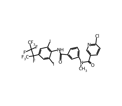 CN(C(=O)c1ccc(Cl)nc1)c1cccc(C(=O)Nc2c(I)cc(C(F)(C(F)(F)F)C(F)(F)C(F)(F)F)cc2I)c1